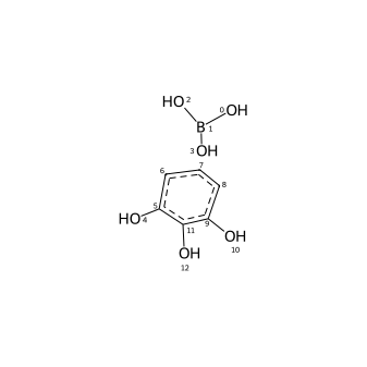 OB(O)O.Oc1cccc(O)c1O